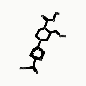 COCC1CN(c2ccc(C(=O)OC)nc2)CCN1C(=O)OC(C)(C)C